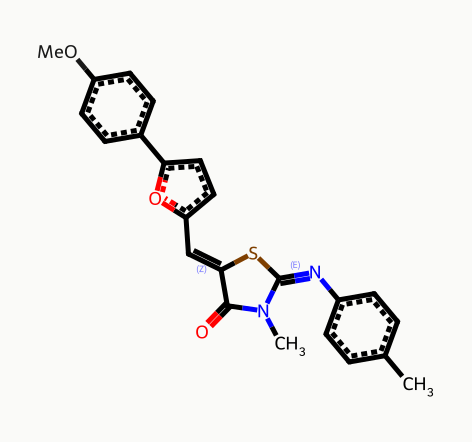 COc1ccc(-c2ccc(/C=C3\S/C(=N/c4ccc(C)cc4)N(C)C3=O)o2)cc1